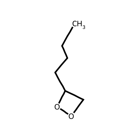 CCCCC1COO1